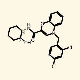 O=C(N[C@H]1CCCC[C@@H]1O)C1=CN(Cc2ccc(Cl)cc2Cl)c2ccccc2O1